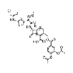 CO/N=C(\C(=O)N[C@@H]1C(=O)N2C(C(=O)O)=C(COC(=O)c3ccc(OC(C)=O)c(OC(C)=O)c3)CS[C@H]12)c1csc(NC(=O)CCl)n1